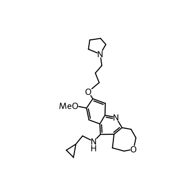 COc1cc2c(NCC3CC3)c3c(nc2cc1OCCCN1CCCC1)CCOCC3